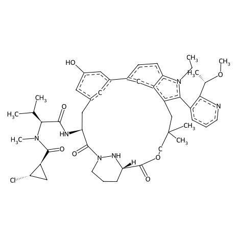 CCn1c(-c2cccnc2[C@H](C)OC)c2c3cc(ccc31)-c1cc(O)cc(c1)C[C@H](NC(=O)[C@H](C(C)C)N(C)C(=O)[C@H]1C[C@@H]1Cl)C(=O)N1CCC[C@H](N1)C(=O)OCC(C)(C)C2